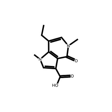 CCc1cn(C)c(=O)c2c(C(=O)O)cn(C)c12